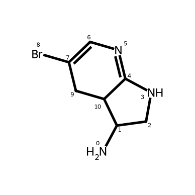 NC1CNC2=NC=C(Br)CC21